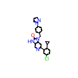 O=c1[nH]c2cnc(-c3cc(Cl)ccc3C3CC3)cc2n1Cc1ccc(-n2cccn2)cc1